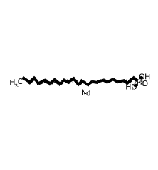 CCCCCCCCCCCCCCCCCCCCCCCCP(=O)(O)O.[Nd]